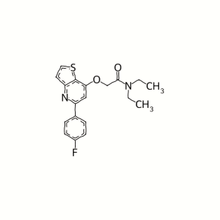 CCN(CC)C(=O)COc1cc(-c2ccc(F)cc2)nc2ccsc12